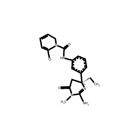 CC[C@@]1(c2cccc(NC(=O)N3CC=CC=C3Cl)c2)CC(=O)N(C)C(N)=N1